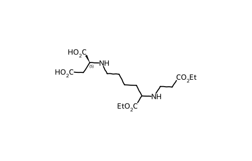 CCOC(=O)CCNC(CCCCN[C@@H](CC(=O)O)C(=O)O)C(=O)OCC